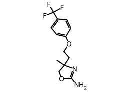 CC1(CCOc2ccc(C(F)(F)F)cc2)COC(N)=N1